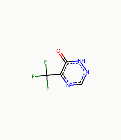 O=c1[nH]ncnc1C(F)(F)F